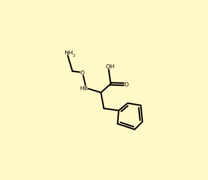 NCOBC(Cc1ccccc1)C(=O)O